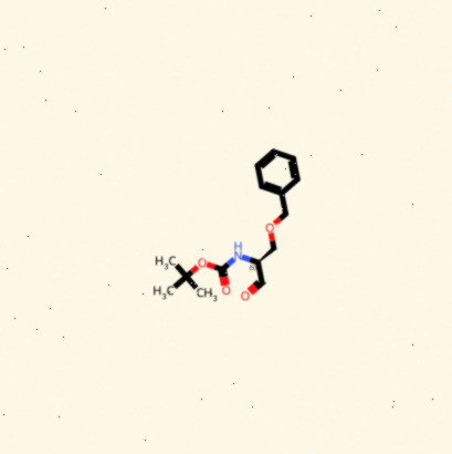 CC(C)(C)OC(=O)N[C@H]([C]=O)COCc1ccccc1